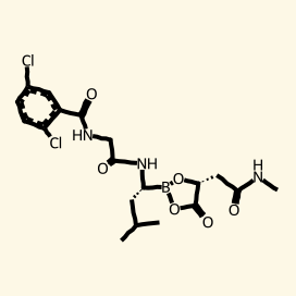 CNC(=O)C[C@H]1OB([C@H](CC(C)C)NC(=O)CNC(=O)c2cc(Cl)ccc2Cl)OC1=O